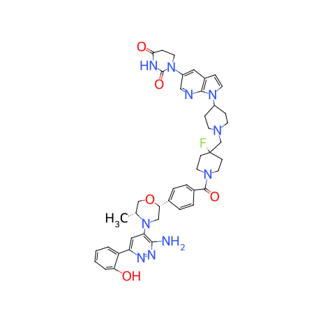 C[C@@H]1CO[C@H](c2ccc(C(=O)N3CCC(F)(CN4CCC(n5ccc6cc(N7CCC(=O)NC7=O)cnc65)CC4)CC3)cc2)CN1c1cc(-c2ccccc2O)nnc1N